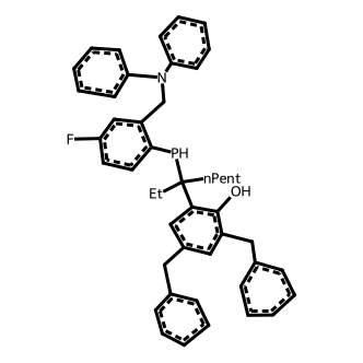 CCCCCC(CC)(Pc1ccc(F)cc1CN(c1ccccc1)c1ccccc1)c1cc(Cc2ccccc2)cc(Cc2ccccc2)c1O